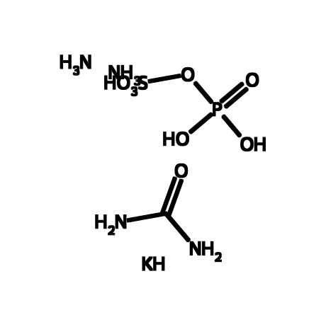 N.N.NC(N)=O.O=P(O)(O)OS(=O)(=O)O.[KH]